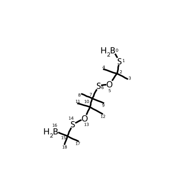 BSC(C)(C)OSC(C)(C)C(C)(C)OSC(B)(C)C